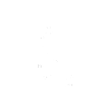 CC(C)(C)C(=O)Oc1ccc(-c2sc3c(c2Br)C(=O)CC(C(=O)C(C)(C)C)=C3)cc1